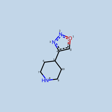 [c]1onnc1C1CCNCC1